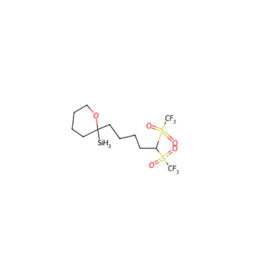 O=S(=O)(C(CCCCC1([SiH3])CCCCO1)S(=O)(=O)C(F)(F)F)C(F)(F)F